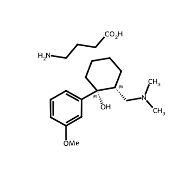 COc1cccc([C@@]2(O)CCCC[C@@H]2CN(C)C)c1.NCCCC(=O)O